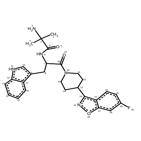 CC(C)(N)C(=O)NC(Cc1c[nH]c2ccccc12)C(=O)N1CCC(c2noc3cc(F)ccc23)CC1